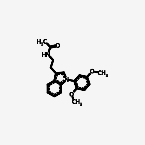 COc1ccc(OC)c(-n2cc(CCNC(C)=O)c3ccccc32)c1